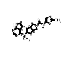 Cc1ncc(NC(=O)N2CC3CC(N(C)c4ncnc5[nH]ccc45)CC3C2)s1